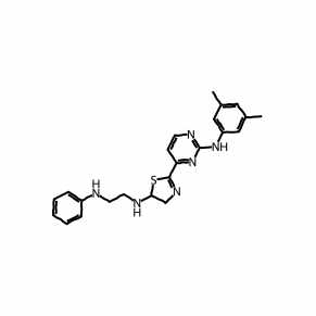 Cc1cc(C)cc(Nc2nccc(C3=NCC(NCCNc4ccccc4)S3)n2)c1